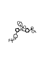 CCOC(=O)c1ccc(CN(C(=O)N2CCOCC2)c2cccc(C3CCN(CC(C)(C)F)CC3)c2)cc1